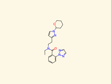 CCN(CCc1ccn(C2CCCCO2)n1)C(=O)c1ccccc1-n1nccn1